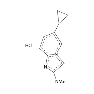 CNc1cn2cc(C3CC3)ccc2n1.Cl